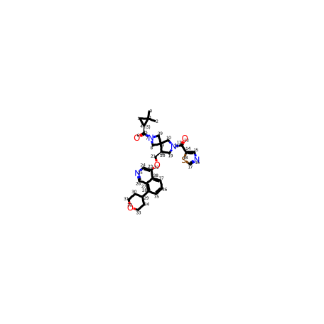 CC1(C)C[C@@H]1C(=O)N1CC2(CN(C(=O)c3cncs3)C[C@H]2COc2cncc3c(C4CCOCC4)cccc23)C1